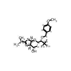 COc1ccc(CO[C@@H]([C@@H]2C[C@H](O)[C@H]3N=C(N(C)C)S[C@H]3O2)C(F)(F)F)cc1